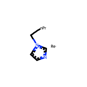 CCCCn1ccnc1.[Re]